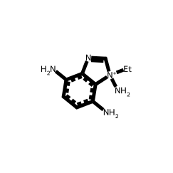 CC[N+]1(N)C=Nc2c(N)ccc(N)c21